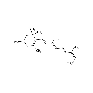 CCOC(=O)\C=C(C)/C=C/C=C(C)/C=C/C1=C(C)C[C@@H](O)CC1(C)C